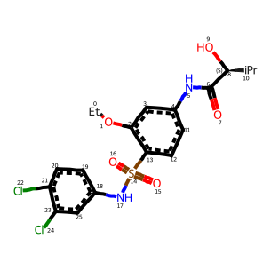 CCOc1cc(NC(=O)[C@@H](O)C(C)C)ccc1S(=O)(=O)Nc1ccc(Cl)c(Cl)c1